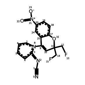 N#CN=c1ccccn1C1=CC(CF)(CF)Oc2ccc([N+](=O)[O-])cc21